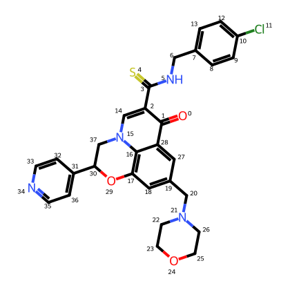 O=c1c(C(=S)NCc2ccc(Cl)cc2)cn2c3c(cc(CN4CCOCC4)cc13)OC(c1ccncc1)C2